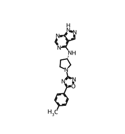 Cc1ccc(-c2nc(N3CC[C@H](Nc4ncnc5[nH]ncc45)C3)no2)cc1